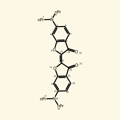 CCCN(CCC)c1ccc2c(c1)OC(=C1Oc3cc(N(CCC)CCC)ccc3C1=O)C2=O